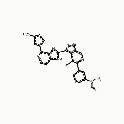 Cc1cn(-c2nccc3[nH]c(-c4n[nH]c5cnc(-c6cncc(N(C)C)c6)c(F)c45)nc23)cn1